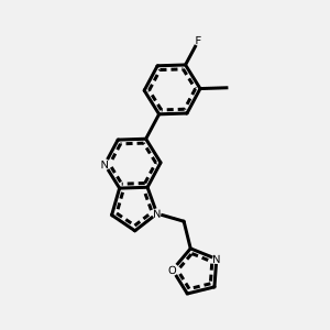 Cc1cc(-c2cnc3ccn(Cc4ncco4)c3c2)ccc1F